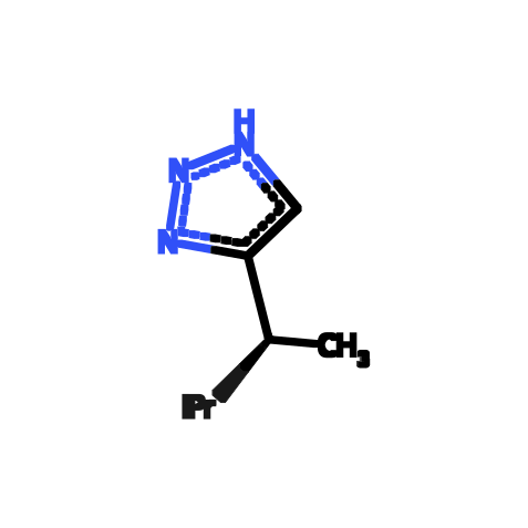 CC(C)[C@H](C)c1c[nH]nn1